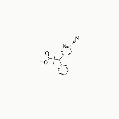 COC(=O)C(C)(C)C(c1ccccc1)c1ccc(C#N)nc1